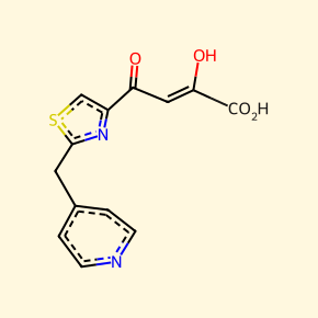 O=C(O)/C(O)=C/C(=O)c1csc(Cc2ccncc2)n1